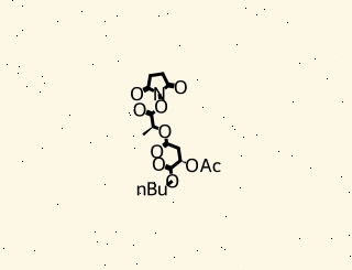 CCCCOC(=O)[C@H](CC(=O)O[C@@H](C)C(=O)ON1C(=O)CCC1=O)OC(C)=O